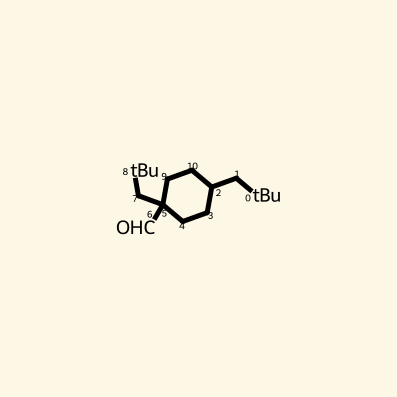 CC(C)(C)CC1CCC(C=O)(CC(C)(C)C)CC1